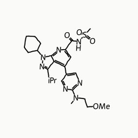 COCCN(C)c1ncc(-c2cc(C(=O)NS(C)(=O)=O)nc3c2c(C(C)C)nn3C2CCCCC2)cn1